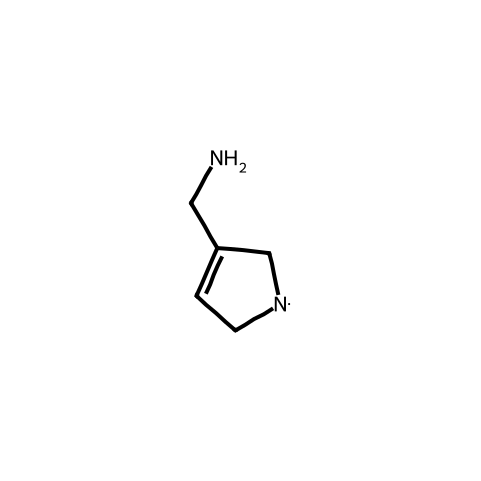 NCC1=CC[N]C1